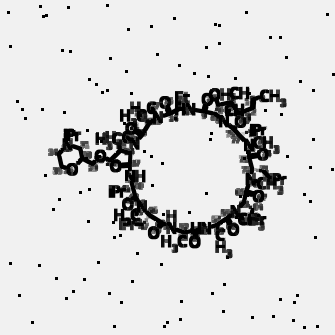 C/C=C/C[C@@H](C)C(O)[C@H]1C(=O)N[C@@H](CC)C(=O)N(C)[C@H](C)C(=O)N(C)[C@@H]([C@H](C)COCC2CN(C(C)C)CCO2)C(=O)N[C@@H](C(C)C)C(=O)N(C)[C@@H](CC(C)C)C(=O)N[C@@H](C)C(=O)N[C@H](C)C(=O)N(C)[C@@H](CC(C)C)C(=O)N(C)[C@@H](CC(C)C)C(=O)N(C)[C@@H](C(C)C)C(=O)N1C